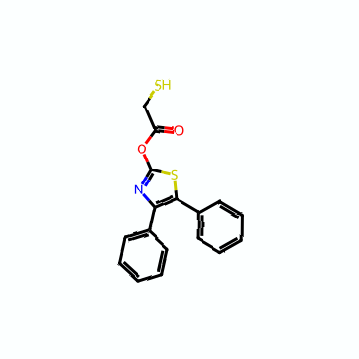 O=C(CS)Oc1nc(-c2ccccc2)c(-c2ccccc2)s1